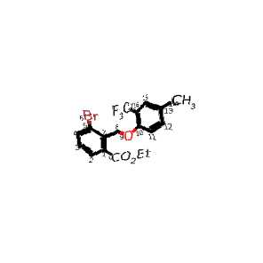 CCOC(=O)c1cccc(Br)c1COc1ccc(C)cc1C(F)(F)F